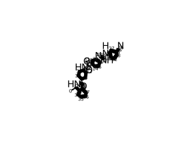 C[C@@H](NC(=O)[C@H]1CC[C@H](NS(=O)(=O)c2ccc3[nH]c(Nc4cccc(C#N)c4)nc3c2)CC1)c1ccccc1